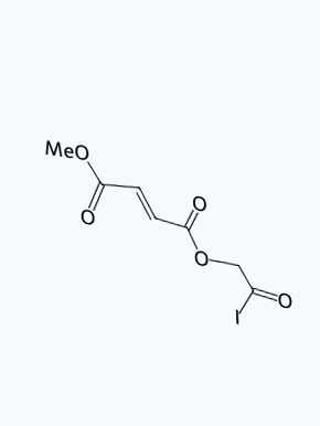 COC(=O)/C=C/C(=O)OCC(=O)I